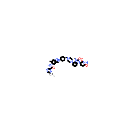 Cc1cc2nn([C@H]3CC[C@H](CN4CCN(c5cccc6c5n(C)c(=O)n6C5CCC(=O)NC5=O)CC4)CC3)cc2cc1NC(=O)c1cncc(C(F)(F)F)n1